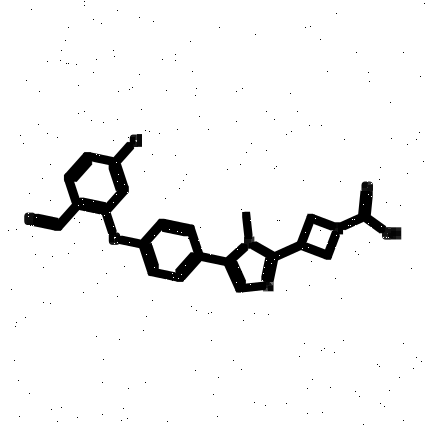 Cn1c(-c2ccc(Oc3cc(Cl)ccc3C=O)cc2)cnc1C1CN(C(=O)O)C1